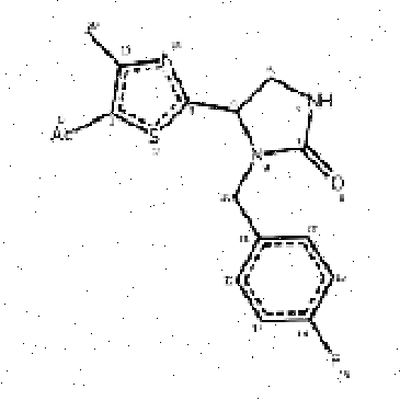 CC(=O)c1sc(C2CNC(=O)N2Cc2ccc(F)cc2)nc1C